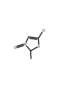 CC1SC(Cl)=C[N+]1=O